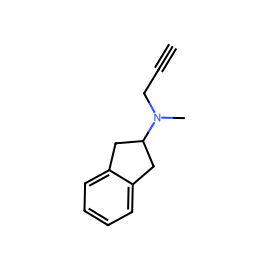 C#CCN(C)C1Cc2ccccc2C1